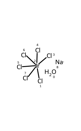 O.[Cl][Ir]([Cl])([Cl])([Cl])([Cl])[Cl].[Na]